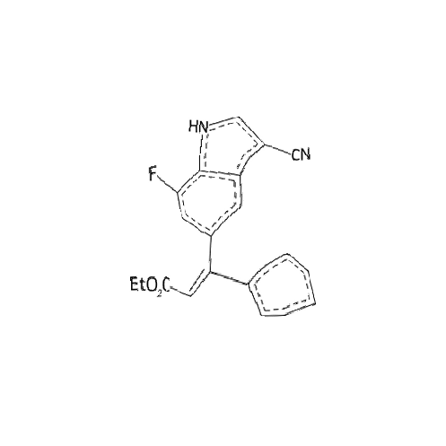 CCOC(=O)/C=C(/c1ccccc1)c1cc(F)c2[nH]cc(C#N)c2c1